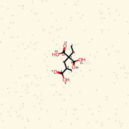 CCC(CC(C)C(=O)O)(C(=O)O)C(=O)O